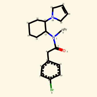 CCCN(C(=O)Cc1ccc(Br)cc1)C1CCCCC1N1CC=CC1